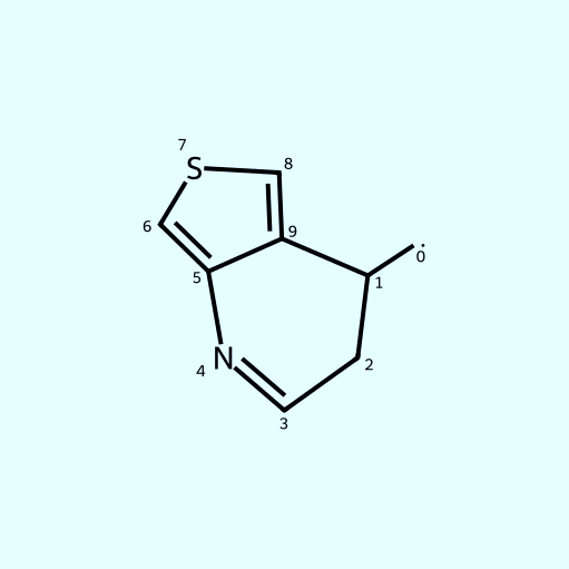 [CH2]C1CC=Nc2cscc21